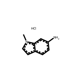 Cl.Cn1ccc2ccc(N)cc21